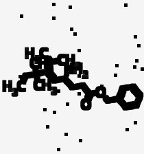 CCC(C)(C)/C(=C/[C@@H](N)CCC(=O)OCc1ccccc1)C(C)C